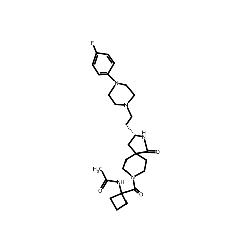 CC(=O)NC1(C(=O)N2CCC3(CC2)C[C@H](CCN2CCN(c4ccc(F)cc4)CC2)NC3=O)CCC1